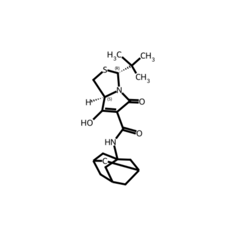 CC(C)(C)[C@H]1SC[C@@H]2C(O)=C(C(=O)NC34CC5CC(CC(C5)C3)C4)C(=O)N21